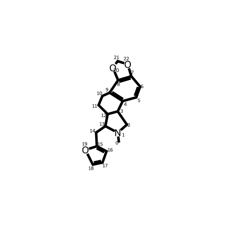 CN1CC2c3ccc4c(c3CCC2C1Cc1ccco1)OCO4